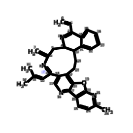 C=CC1=NC2CC(=C)/N=C(/C=C(C)C)c3cnc4c(oc5nc(C)ccc54)c3CCC2c2ccccc21